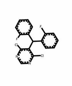 Fc1ccccc1C(c1ccccc1F)c1c(Cl)ncnc1Cl